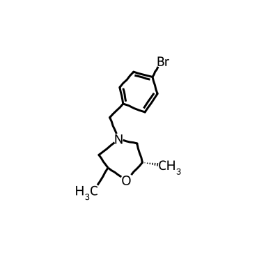 CC1CN(Cc2ccc(Br)cc2)C[C@H](C)O1